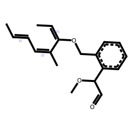 C/C=C/C=C(C)\C(=C/C)OCc1ccccc1C(C=O)OC